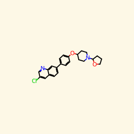 Clc1cnc2cc(-c3ccc(OC4CCN(C5CCCO5)CC4)cc3)ccc2c1